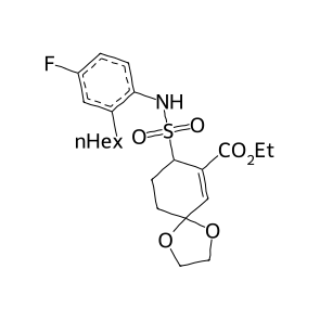 CCCCCCc1cc(F)ccc1NS(=O)(=O)C1CCC2(C=C1C(=O)OCC)OCCO2